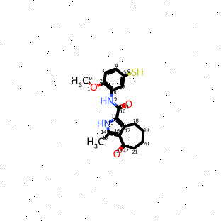 COc1ccc(S)cc1NC(=O)c1[nH]c(C)c2c1CCCCC2=O